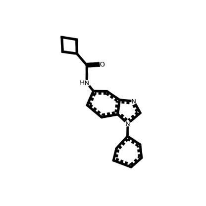 O=C(Nc1ccc2c(c1)ncn2-c1ccccc1)C1CCC1